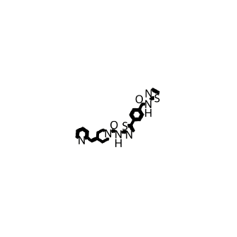 O=C(Nc1nccs1)c1ccc(-c2cnc(NC(=O)N3CCC(=Cc4ccccn4)CC3)s2)cc1